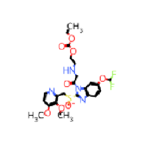 CCOC(=O)OCCNCC(=O)n1c([S+]([O-])Cc2nccc(OC)c2OC)nc2ccc(OC(F)F)cc21